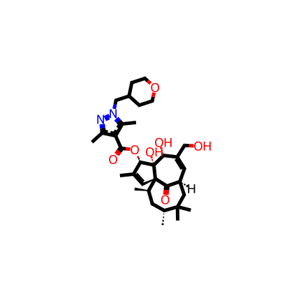 CC1=C[C@]23C(=O)[C@@H](C=C(CO)[C@@H](O)[C@]2(O)[C@H]1OC(=O)c1c(C)nn(CC2CCOCC2)c1C)CC(C)(C)[C@H](C)C[C@H]3C